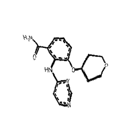 NC(=O)c1cccc(OC2CCOCC2)c1Nc1ccncn1